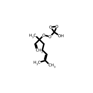 C=CC(C)(CCC=C(C)C)OOC1(O)OO1